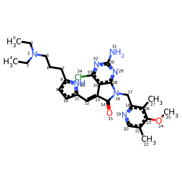 CCN(CC)CCCc1ccc(/C=C2/C(=O)N(Cc3ncc(C)c(OC)c3C)c3nc(N)nc(Cl)c32)[nH]1